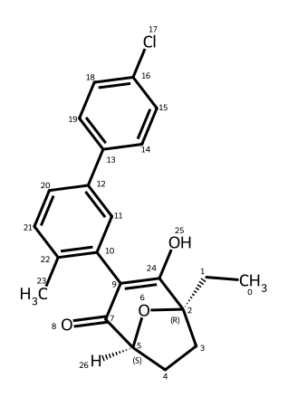 CC[C@]12CC[C@H](O1)C(=O)C(c1cc(-c3ccc(Cl)cc3)ccc1C)=C2O